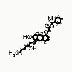 CCCCC[C@@H](O)CC[C@@H]1[C@H]2Cc3cccc(OCC(=O)O[C@H](CN)C4CCCCC4)c3C[C@H]2C[C@H]1O